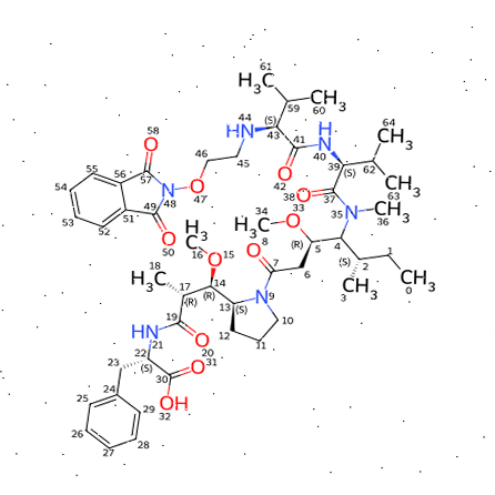 CC[C@H](C)C([C@@H](CC(=O)N1CCC[C@H]1[C@H](OC)[C@@H](C)C(=O)N[C@@H](Cc1ccccc1)C(=O)O)OC)N(C)C(=O)[C@@H](NC(=O)[C@@H](NCCON1C(=O)c2ccccc2C1=O)C(C)C)C(C)C